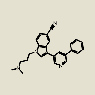 CN(C)CCCn1cc(-c2cncc(-c3ccccc3)c2)c2cc(C#N)ccc21